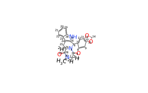 [2H]C1([2H])C(=O)N2C(c3ccc4c(c3)OCO4)c3[nH]c4ccccc4c3C[C@]2([2H])C(=O)N1C